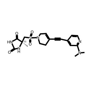 CN(C)c1cc(C#CC2=CCN(S(=O)(=O)C[C@@]3(C)NC(=O)NC3=O)CC2)ccn1